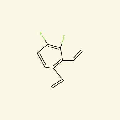 C=Cc1ccc(F)c(F)c1C=C